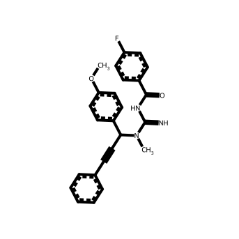 COc1ccc(C(C#Cc2ccccc2)N(C)C(=N)NC(=O)c2ccc(F)cc2)cc1